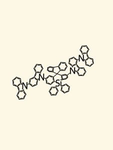 c1ccc([Si]2(c3ccccc3)c3ccc(-n4c5ccccc5c5cc(-n6c7ccccc7c7ccccc76)ccc54)cc3C3(c4ccccc4-c4ccccc43)c3cc(-n4c5ccccc5c5c(-n6c7ccccc7c7ccccc76)cccc54)ccc32)cc1